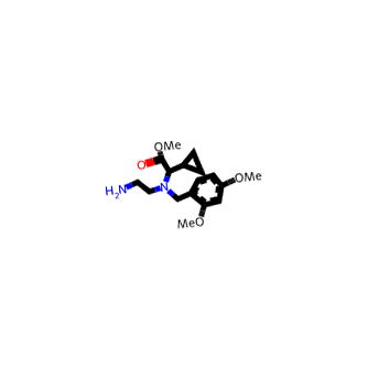 COC(=O)C(C1CC1)N(CCN)Cc1ccc(OC)cc1OC